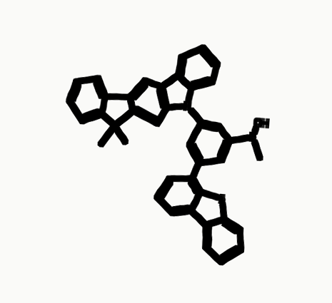 CB(O)c1cc(-c2cccc3c2sc2ccccc23)cc(-n2c3ccccc3c3cc4c(cc32)C(C)(C)c2ccccc2-4)c1